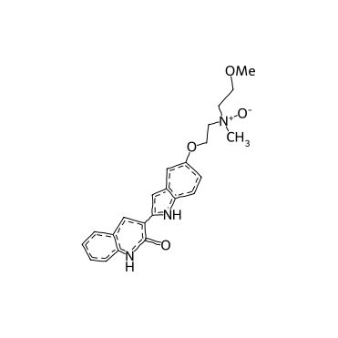 COCC[N+](C)([O-])CCOc1ccc2[nH]c(-c3cc4ccccc4[nH]c3=O)cc2c1